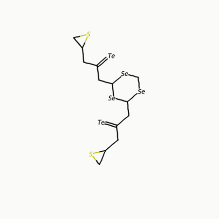 [Te]=C(CC1CS1)CC1[Se]C[Se]C(CC(=[Te])CC2CS2)[Se]1